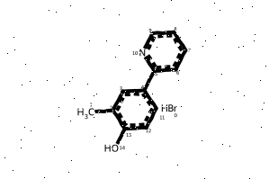 Br.Cc1cc(-c2ccccn2)ccc1O